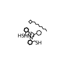 CCCCCCCCC1CCC1.SCc1ccccc1N1C=C(C2CCCCC2)CN(c2ccccc2CS)N1